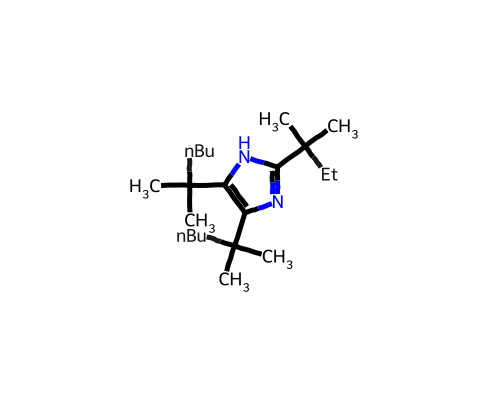 CCCCC(C)(C)c1nc(C(C)(C)CC)[nH]c1C(C)(C)CCCC